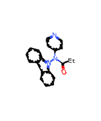 CCC(=O)N(c1ccncc1)n1c2ccccc2c2ccccc21